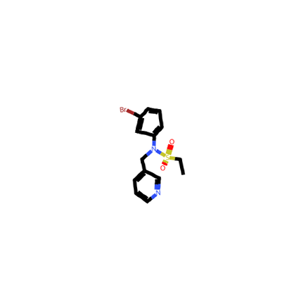 CCS(=O)(=O)N(Cc1cccnc1)c1cccc(Br)c1